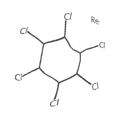 ClC1C(Cl)C(Cl)C(Cl)C(Cl)C1Cl.[Re]